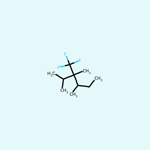 CCC(C)C(C)(C(C)C)C(F)(F)F